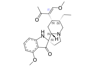 CC[C@@H]1CN2CC[C@]3(Nc4cccc(OC)c4C3=O)[C@@H]2C[C@@H]1/C(=C\OC)C(C)=O